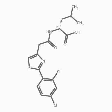 CC(C)C[C@@H](NC(=O)Cc1csc(-c2ccc(Cl)cc2Cl)n1)C(=O)O